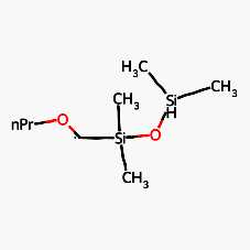 CCCO[CH][Si](C)(C)O[SiH](C)C